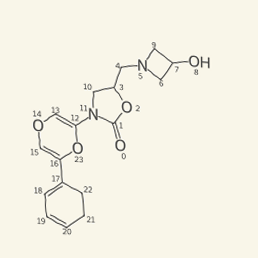 O=C1OC(CN2CC(O)C2)CN1C1=COC=C(C2=CC=CCC2)O1